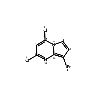 CC(C)c1ccn2c(Cl)cc(Cl)nc12